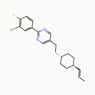 CC=C[C@H]1CC[C@H](CCc2cnc(-c3ccc(F)c(Cl)c3)nc2)CC1